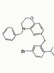 CC(C)c1ccc(Br)cc1Cc1ccc2c(c1)N(Cc1ccccc1)CCO2